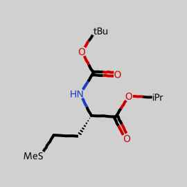 CSCC[C@H](NC(=O)OC(C)(C)C)C(=O)OC(C)C